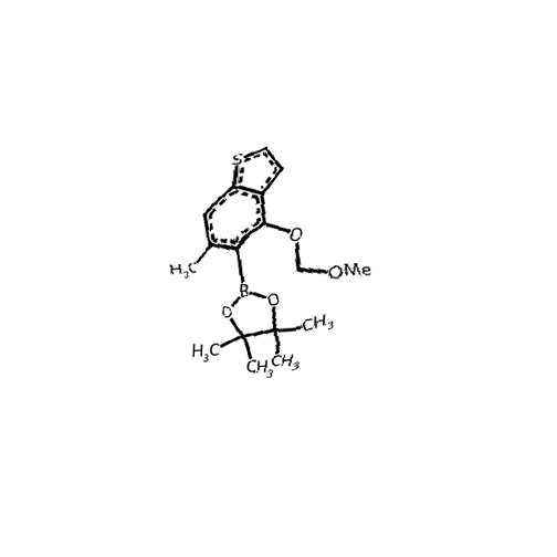 COCOc1c(B2OC(C)(C)C(C)(C)O2)c(C)cc2sccc12